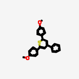 COc1ccc(C2=CC(c3ccccc3)=CC(c3ccc(OC)cc3)S2)cc1